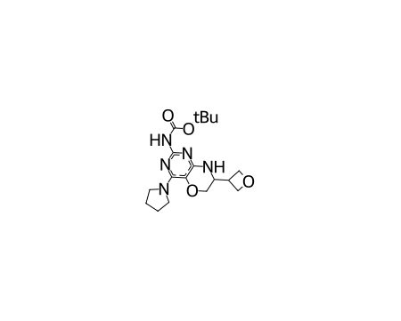 CC(C)(C)OC(=O)Nc1nc2c(c(N3CCCC3)n1)OCC(C1COC1)N2